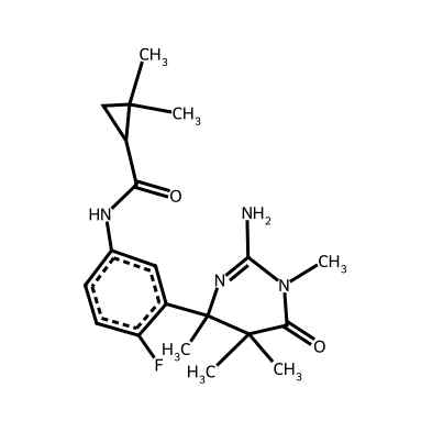 CN1C(=O)C(C)(C)C(C)(c2cc(NC(=O)C3CC3(C)C)ccc2F)N=C1N